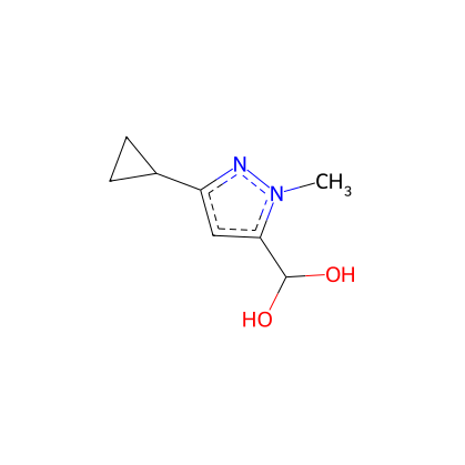 Cn1nc(C2CC2)cc1C(O)O